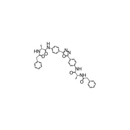 C[C@H](NC(=O)Cc1ccccc1)C(=O)Nc1ccc(-c2nnc(-c3ccc(NC(=O)[C@H](C)NC(=O)Cc4ccccc4)cc3)o2)cc1